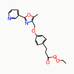 CCOOC(=O)CCc1ccc(OCc2nc(-c3cccnc3)oc2C)cc1